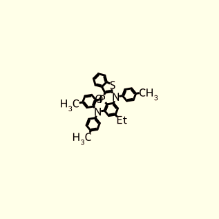 CCc1cc2c3c(c1)N(c1ccc(C)cc1)c1sc4ccccc4c1P3(=O)c1ccc(C)cc1N2c1ccc(C)cc1